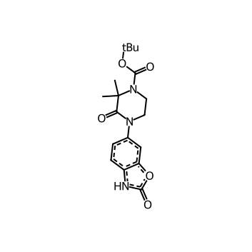 CC(C)(C)OC(=O)N1CCN(c2ccc3[nH]c(=O)oc3c2)C(=O)C1(C)C